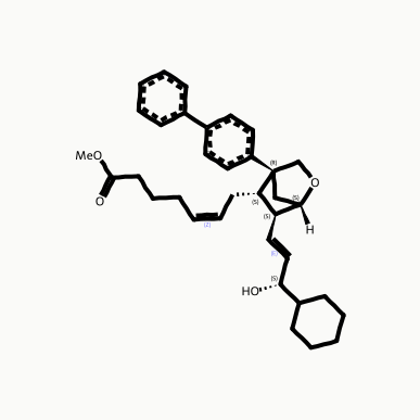 COC(=O)CCC/C=C\C[C@H]1[C@H](/C=C/[C@@H](O)C2CCCCC2)[C@@H]2C[C@@]1(c1ccc(-c3ccccc3)cc1)CO2